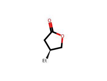 CC[C@@H]1COC(=O)C1